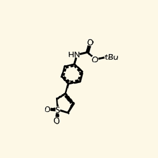 CC(C)(C)OC(=O)Nc1ccc(C2=CCS(=O)(=O)C2)cc1